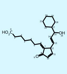 O=C(O)CCCCC/C=C1\C(=O)C=CC1/C=C/C(O)C1CCCCC1